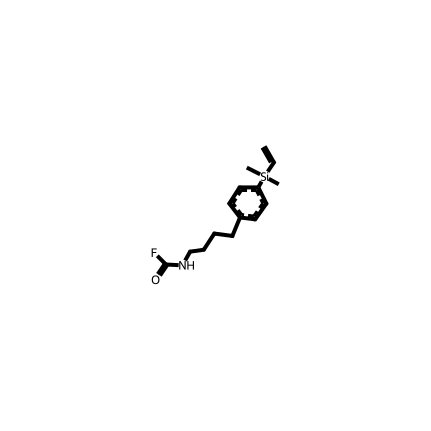 C=C[Si](C)(C)c1ccc(CCCCNC(=O)F)cc1